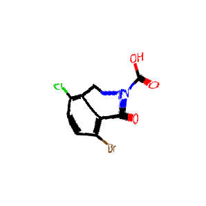 O=C(O)N1Cc2c(Cl)ccc(Br)c2C1=O